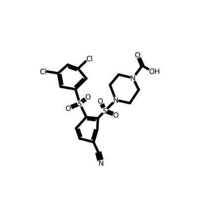 N#Cc1ccc(S(=O)(=O)c2cc(Cl)cc(Cl)c2)c(S(=O)(=O)N2CCN(C(=O)O)CC2)c1